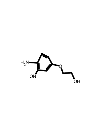 Nc1ccc(OCCO)cc1N=O